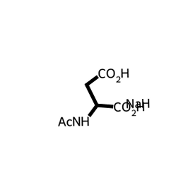 CC(=O)NC(CC(=O)O)C(=O)O.[NaH]